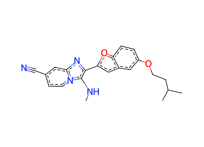 CNc1c(-c2cc3cc(OCCC(C)C)ccc3o2)nc2cc(C#N)ccn12